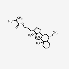 CC[C@H]1CC2C3CCC(CCCOC(=O)C(C)C)C3(C)CC[C@]2(N)C2(C)CCCCC12